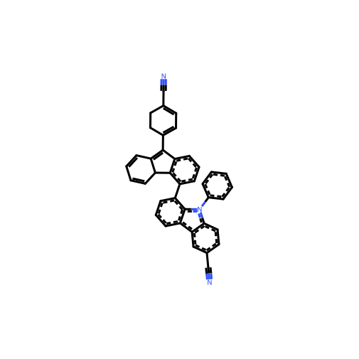 N#CC1=CC=C(C2=C3C=CC=CC3c3c2cccc3-c2cccc3c4cc(C#N)ccc4n(-c4ccccc4)c23)CC1